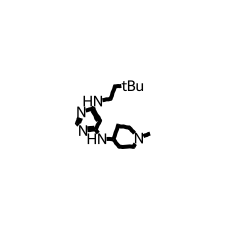 CN1CCC(Nc2cc(NCCC(C)(C)C)ncn2)CC1